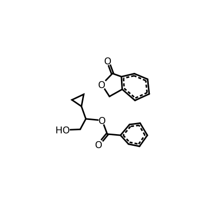 O=C(OC(CO)C1CC1)c1ccccc1.O=C1OCc2ccccc21